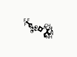 CN(c1ncnc2[nH]ccc12)[C@H]1C[C@@H](CS(=O)(=O)N2CC(C(F)(F)F)C2)C1